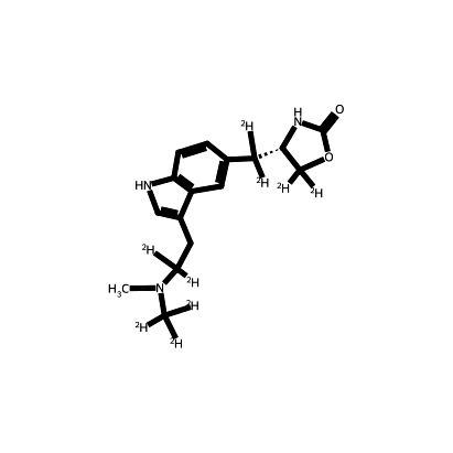 [2H]C1([2H])OC(=O)N[C@H]1C([2H])([2H])c1ccc2[nH]cc(CC([2H])([2H])N(C)C([2H])([2H])[2H])c2c1